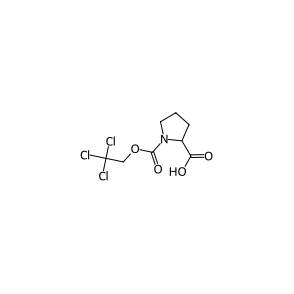 O=C(O)C1CCCN1C(=O)OCC(Cl)(Cl)Cl